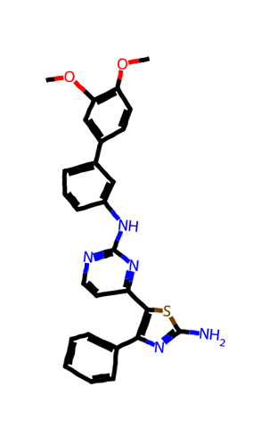 COc1ccc(-c2cccc(Nc3nccc(-c4sc(N)nc4-c4ccccc4)n3)c2)cc1OC